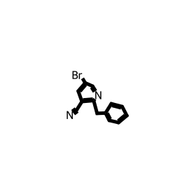 N#Cc1cc(Br)cnc1Cc1ccccc1